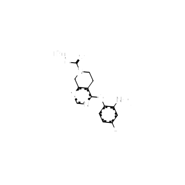 CC(C)(C)OC(=O)N1CCc2c(ncnc2Oc2ccc(F)cc2[N+](=O)[O-])C1